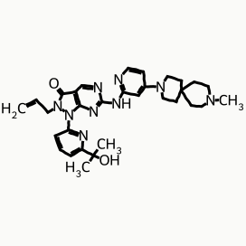 C=CCn1c(=O)c2cnc(Nc3cc(N4CCC5(CCN(C)CC5)CC4)ccn3)nc2n1-c1cccc(C(C)(C)O)n1